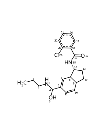 CCCNC(O)C1=CC2C(C=C1)CC[C@H]2NC(=O)c1ccccc1Cl